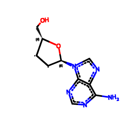 Nc1ncnc2c1ncn2[C@H]1[CH][CH][C@H](CO)O1